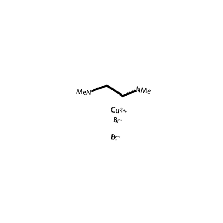 CNCCNC.[Br-].[Br-].[Cu+2]